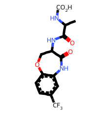 CC(NC(=O)O)C(=O)NC1COc2ccc(C(F)(F)F)cc2NC1=O